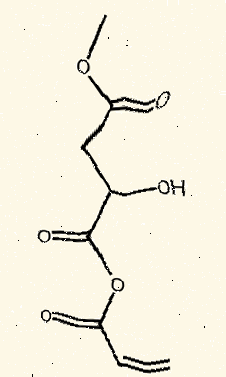 C=CC(=O)OC(=O)C(O)CC(=O)OC